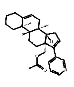 CC(=O)OC[C@]12CC[C@H]3[C@@H](CC=C4CCCC[C@@]43C)[C@@H]1CC=C2c1cccnc1